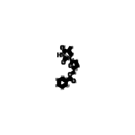 Cc1cn([C@H]2C=C[C@@H](COC(=O)c3ccccc3)O2)c(=O)[nH]c1=O